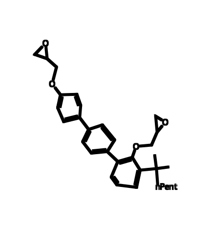 CCCCCC(C)(C)c1cccc(-c2ccc(-c3ccc(OCC4CO4)cc3)cc2)c1OCC1CO1